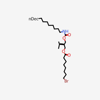 CCCCCCCCCCCCCCCCCCNC(=O)OCC(COC(=O)CCCCCCCBr)=C(C)C